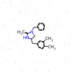 C=C1NC(Cc2ccc(C)c(C)c2)CN1Cc1ccccc1